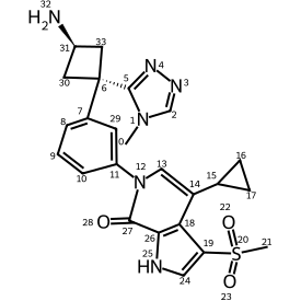 Cn1cnnc1[C@]1(c2cccc(-n3cc(C4CC4)c4c(S(C)(=O)=O)c[nH]c4c3=O)c2)C[C@@H](N)C1